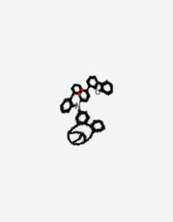 c1ccc(-c2ccccc2N(c2ccc(-c3cccc4c3oc3ccccc34)cc2)c2ccc3c(c2)CC2CC4CC(Cc5ccccc5-3)CC(C2)C4)cc1